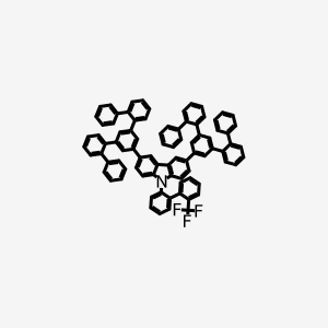 FC(F)(F)c1ccccc1-c1ccccc1-n1c2ccc(-c3cc(-c4ccccc4-c4ccccc4)cc(-c4ccccc4-c4ccccc4)c3)cc2c2cc(-c3cc(-c4ccccc4-c4ccccc4)cc(-c4ccccc4-c4ccccc4)c3)ccc21